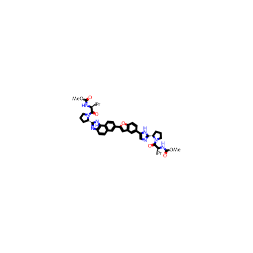 COC(=O)N[C@H](C(=O)N1CCC[C@H]1c1ncc(-c2ccc3oc(-c4ccc5c(ccc6nc([C@@H]7CCCN7C(=O)[C@@H](NC(=O)OC)C(C)C)[nH]c65)c4)cc3c2)[nH]1)C(C)C